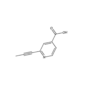 CC#Cc1cc(C(=O)O)ccn1